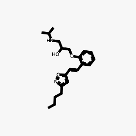 CCCCc1cc(C=Cc2ccccc2OCC(O)CNC(C)C)on1